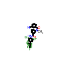 CN(C(=O)c1cccc(C#N)c1)c1cccc(C(=O)Nc2c(Br)cc(C(F)(C(F)(F)F)C(F)(F)C(F)(F)F)cc2Br)c1